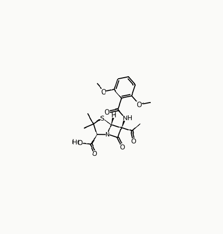 COc1cccc(OC)c1C(=O)N[C@@]1(C(C)=O)C(=O)N2[C@@H](C(=O)O)C(C)(C)S[C@@H]21